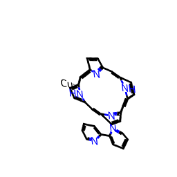 C1=Cc2cc3ccc(cc4nc(cc5ccc(cc1n2)[nH]5)C=C4)[nH]3.[Cu].c1ccc(-c2ccccn2)nc1